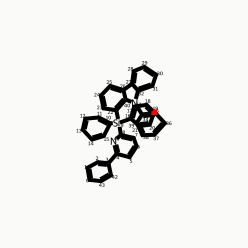 c1ccc(-c2cccc([Si](c3ccccc3)(c3ccccc3)c3cccc4c5ccccc5n(-c5ccccc5)c34)n2)cc1